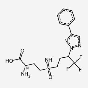 N=S(=O)(CCC(n1ncc(-c2ccccc2)n1)C(F)(F)F)CC[C@H](N)C(=O)O